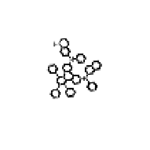 IC1CC=Cc2cc(N(c3ccccc3)c3ccc4c(c3)c3cc(N(c5ccccc5)c5ccc6ccccc6c5)ccc3c3c(-c5ccccc5)c(-c5ccccc5)cc(-c5ccccc5)c43)ccc21